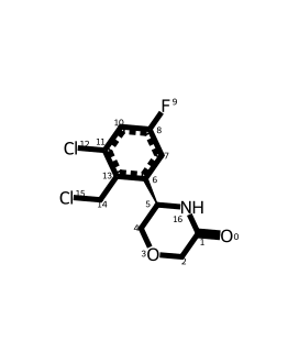 O=C1COC[C@@H](c2cc(F)cc(Cl)c2CCl)N1